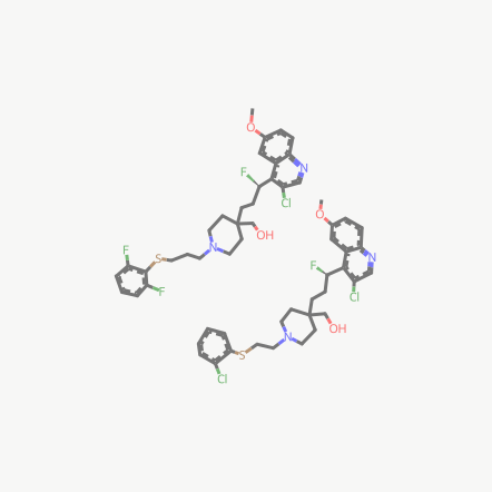 COc1ccc2ncc(Cl)c([C@H](F)CCC3(CO)CCN(CCCSc4c(F)cccc4F)CC3)c2c1.COc1ccc2ncc(Cl)c([C@H](F)CCC3(CO)CCN(CCSc4ccccc4Cl)CC3)c2c1